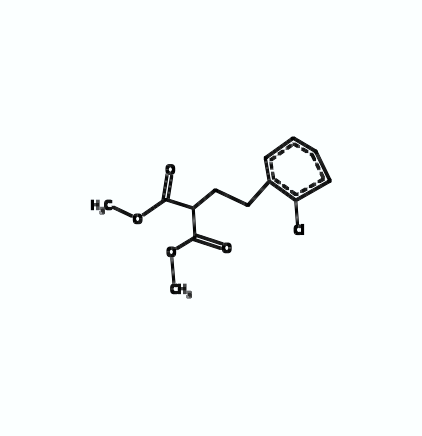 COC(=O)C(CCc1ccccc1Cl)C(=O)OC